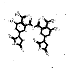 CC1CC(C2CC(=O)OC2=O)CC(C(=O)OC(=O)C2=C(C(=O)O)C(C)CC(C3CC(=O)OC3=O)C2)=C1C(=O)O